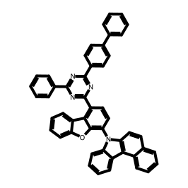 c1ccc(-c2ccc(-c3nc(-c4ccccc4)nc(-c4ccc(-n5c6ccccc6c6c7ccccc7ccc65)c5oc6ccccc6c45)n3)cc2)cc1